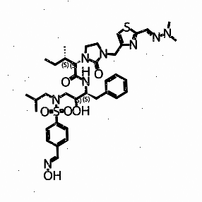 CC[C@H](C)[C@@H](C(=O)N[C@@H](Cc1ccccc1)[C@@H](O)CN(CC(C)C)S(=O)(=O)c1ccc(C=NO)cc1)N1CCN(Cc2csc(C=NN(C)C)n2)C1=O